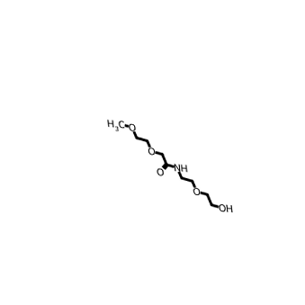 COCCOCC(=O)NCCOCCO